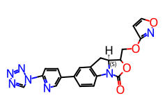 O=C1OC(COc2ccon2)[C@@H]2Cc3cc(-c4ccc(-n5cnnn5)nc4)ccc3N12